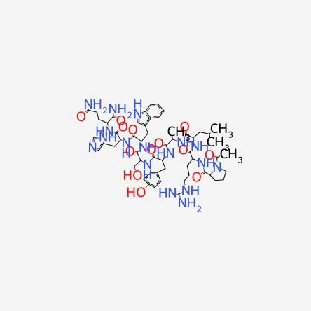 CC(=O)N1CCCC1C(=O)NC(CCCNC(=N)N)C(=O)NC(CC(C)C)C(=O)NC(C)C(=O)NC(Cc1ccc(O)cc1)C(=O)NC(CO)C(=O)NC(Cc1c[nH]c2ccccc12)C(=O)NC(Cc1cnc[nH]1)C(=O)NC(CCC(N)=O)C(N)=O